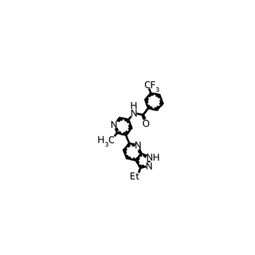 CCc1n[nH]c2nc(-c3cc(NC(=O)c4cccc(C(F)(F)F)c4)cnc3C)ccc12